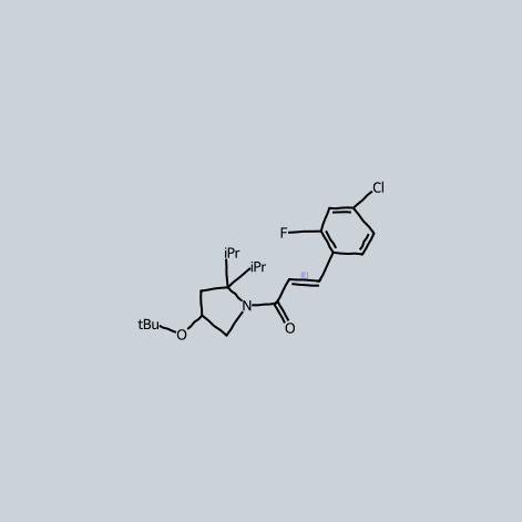 CC(C)C1(C(C)C)CC(OC(C)(C)C)CN1C(=O)/C=C/c1ccc(Cl)cc1F